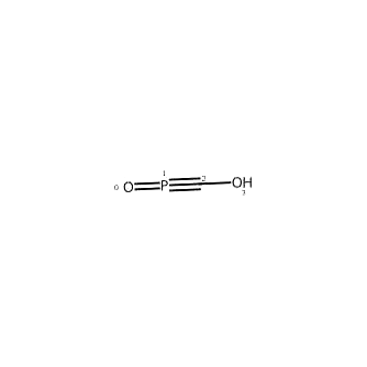 O=P#CO